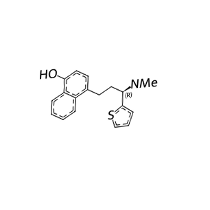 CN[C@H](CCc1ccc(O)c2ccccc12)c1cccs1